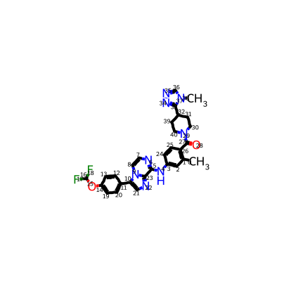 Cc1cc(Nc2nccn3c(-c4ccc(OC(F)F)cc4)cnc23)ccc1C(=O)N1CCC(c2nncn2C)CC1